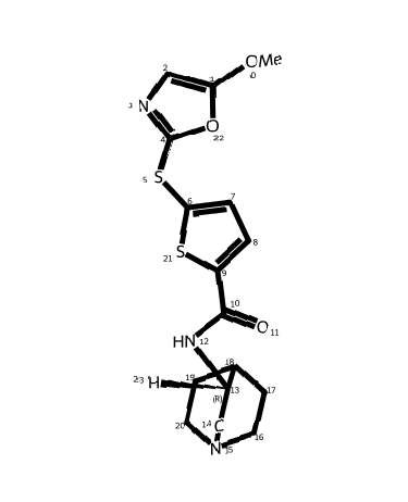 COc1cnc(Sc2ccc(C(=O)N[C@H]3CN4CCC3CC4)s2)o1